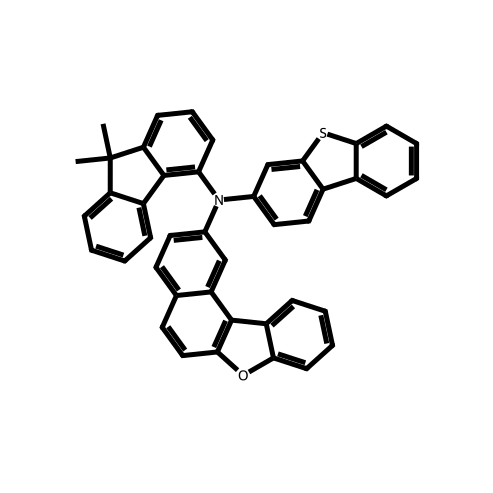 CC1(C)c2ccccc2-c2c(N(c3ccc4c(c3)sc3ccccc34)c3ccc4ccc5oc6ccccc6c5c4c3)cccc21